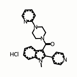 Cl.Cn1c(-c2ccncc2)c(C(=O)N2CCN(c3ccccn3)CC2)c2ccccc21